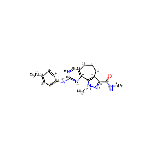 CCCNC(=O)c1nn(C)c2c1CCCc1cnc(Nc3ccc([N+](=O)[O-])cc3)nc1-2